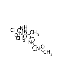 C=CC(=O)N1CCC=C(c2ccc(C(C)C(=O)Nc3ncc(Cl)c(OC)n3)cn2)C1